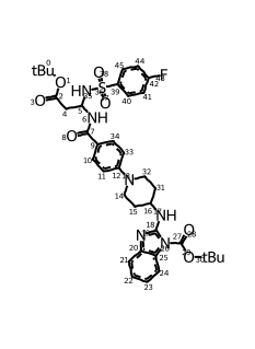 CC(C)(C)OC(=O)CC(NC(=O)c1ccc(N2CCC(Nc3nc4ccccc4n3C(=O)OC(C)(C)C)CC2)cc1)NS(=O)(=O)c1ccc(F)cc1